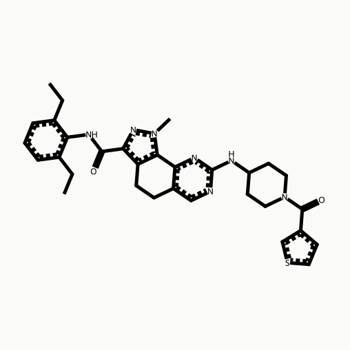 CCc1cccc(CC)c1NC(=O)c1nn(C)c2c1CCc1cnc(NC3CCN(C(=O)c4ccsc4)CC3)nc1-2